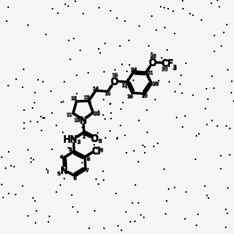 O=C(Nc1cnccc1Cl)N1CCC(CCOc2cccc(OC(F)(F)F)c2)C1